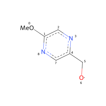 COc1cnc(C[O])cn1